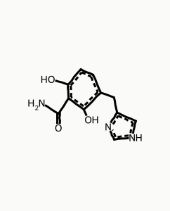 NC(=O)c1c(O)ccc(Cc2c[nH]cn2)c1O